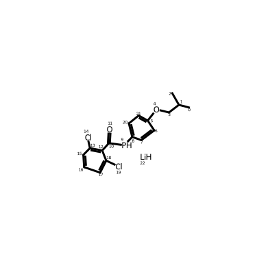 CC(C)COc1ccc(PC(=O)c2c(Cl)cccc2Cl)cc1.[LiH]